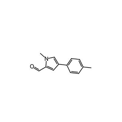 Cc1ccc(-c2cc(C=O)n(C)c2)cc1